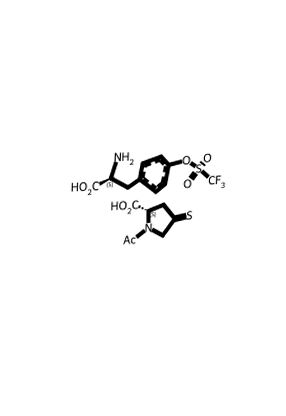 CC(=O)N1CC(=S)C[C@H]1C(=O)O.N[C@@H](Cc1ccc(OS(=O)(=O)C(F)(F)F)cc1)C(=O)O